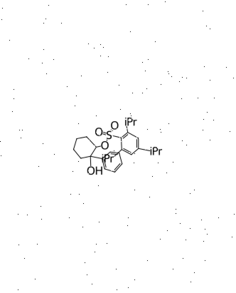 CC(C)c1cc(C(C)C)c(S(=O)(=O)OC2CCCCC2(O)c2ccccc2)c(C(C)C)c1